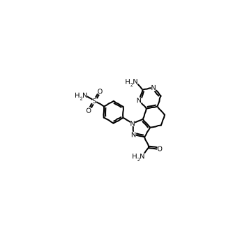 NC(=O)c1nn(-c2ccc(S(N)(=O)=O)cc2)c2c1CCc1cnc(N)nc1-2